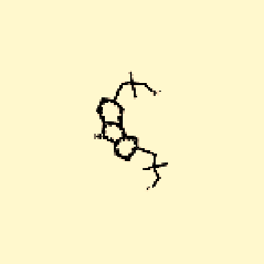 CC(C)CC(C)(C)Cc1ccc2[nH]c3ccc(CC(C)(C)CC(C)C)cc3c2c1